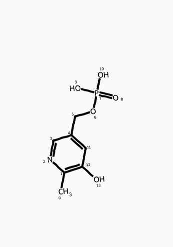 Cc1ncc(COP(=O)(O)O)cc1O